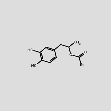 CCC(=O)OC(C)Cc1ccc(C#N)c(O)c1